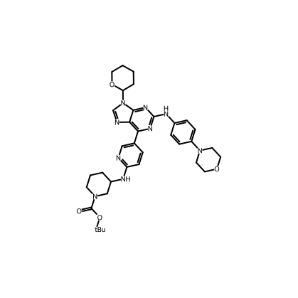 CC(C)(C)OC(=O)N1CCCC(Nc2ccc(-c3nc(Nc4ccc(N5CCOCC5)cc4)nc4c3ncn4C3CCCCO3)cn2)C1